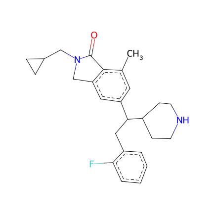 Cc1cc(C(Cc2ccccc2F)C2CCNCC2)cc2c1C(=O)N(CC1CC1)C2